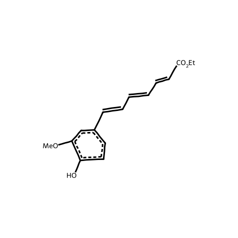 CCOC(=O)/C=C/C=C/C=C/c1ccc(O)c(OC)c1